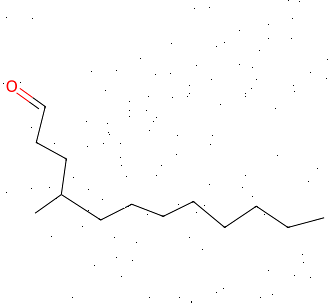 CCCCCCCCC(C)CCC=O